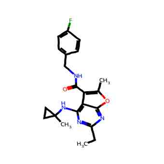 CCc1nc(NC2(C)CC2)c2c(C(=O)NCc3ccc(F)cc3)c(C)oc2n1